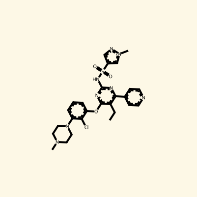 CCc1c(Oc2cccc(N3CCN(C)CC3)c2Cl)nc(NS(=O)(=O)c2cnn(C)c2)nc1-c1ccncc1